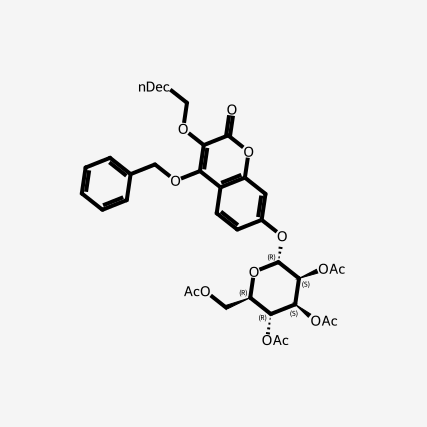 CCCCCCCCCCCOc1c(OCc2ccccc2)c2ccc(O[C@H]3O[C@H](COC(C)=O)[C@@H](OC(C)=O)[C@H](OC(C)=O)[C@@H]3OC(C)=O)cc2oc1=O